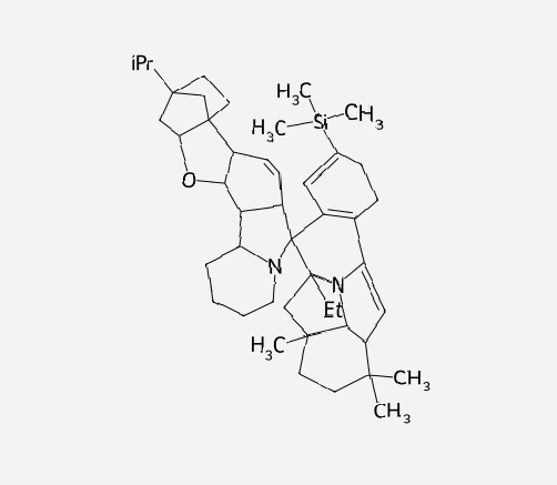 CCC12CC3(C)CCC(C)(C)C4C=C(C5=C(C=C([Si](C)(C)C)CC5)C15C1C=CC6C(OC7CC8(C(C)C)CCC76C8)C1C1CCCCN15)N2C43